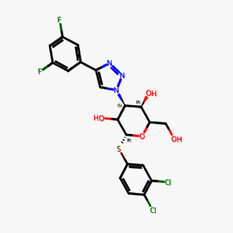 OCC1O[C@H](Sc2ccc(Cl)c(Cl)c2)C(O)[C@@H](n2cc(-c3cc(F)cc(F)c3)nn2)[C@H]1O